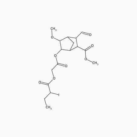 CCC(I)C(=O)OCC(=O)OC1C2CC(C(C=O)C2C(=O)OC)C1OC